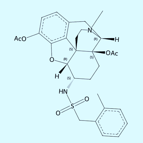 CC(=O)Oc1ccc2c3c1O[C@H]1[C@@H](NS(=O)(=O)Cc4ccccc4C)CC[C@@]4(OC(C)=O)[C@@H](C2)N(C)CC[C@]314